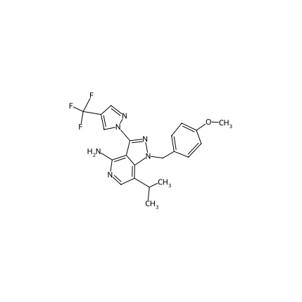 COc1ccc(Cn2nc(-n3cc(C(F)(F)F)cn3)c3c(N)ncc(C(C)C)c32)cc1